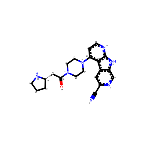 N#Cc1cc2c(cn1)[nH]c1nccc(N3CCN(C(=O)C[C@@H]4CCCN4)CC3)c12